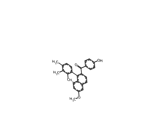 COc1ccc2c(-c3ccc(C)c(C)c3C)c(C(=O)c3ccc(O)cc3)ccc2c1